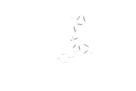 O=S(=O)(CC=Cc1ccccc1Cl)c1cn(CC2CCNCC2)c2cc(F)ccc12